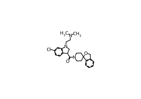 CN(C)CCN1CC(C(=O)N2CCC3(CC2)OCc2ccccc23)c2ccc(Cl)cc21